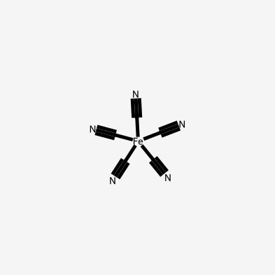 N#[C][Fe]([C]#N)([C]#N)([C]#N)[C]#N